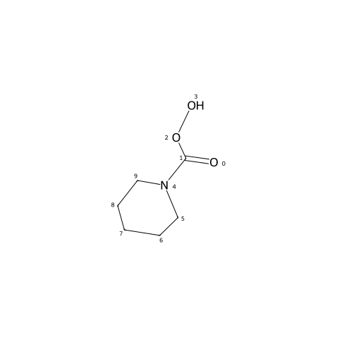 O=C(OO)N1CCCCC1